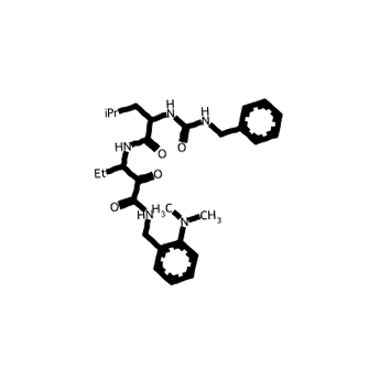 CCC(NC(=O)C(CC(C)C)NC(=O)NCc1ccccc1)C(=O)C(=O)NCc1ccccc1N(C)C